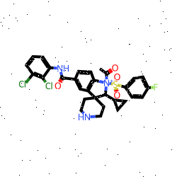 CC(=O)[N+]1(S(=O)(=O)c2ccc(F)cc2)c2ccc(C(=O)Nc3cccc(Cl)c3Cl)cc2C2(CCNCC2)C1C1CC1